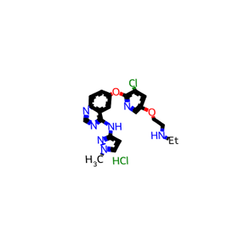 CCNCCOc1cnc(Oc2ccc3ncnc(Nc4ccn(C)n4)c3c2)c(Cl)c1.Cl